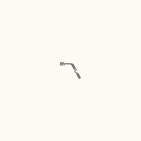 C=C=[CH][Rh]